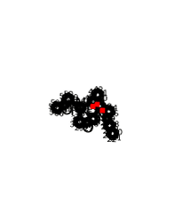 c1ccc(-c2cc3c(cc2-n2c4ccccc4c4cc5ccccc5cc42)oc2cccc(-c4nc(-c5ccc6ccccc6c5)nc(-c5cccc6c5oc5ccccc56)n4)c23)cc1